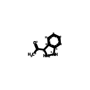 CC(=O)C1NNc2ccccc21